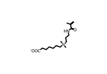 C=C(C)C(=O)NCCC[N+](C)(C)CCCCCCC(=O)[O-]